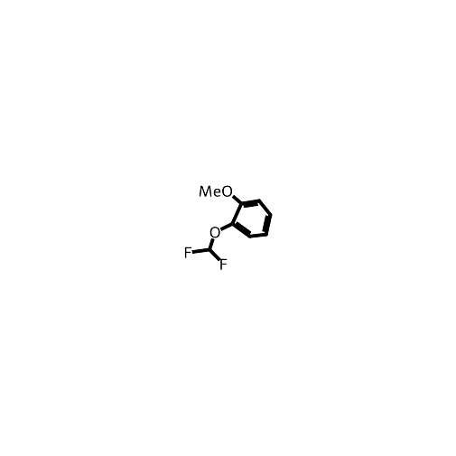 COc1ccccc1OC(F)F